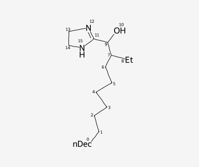 CCCCCCCCCCCCCCCCC(CC)C(O)C1=NCCN1